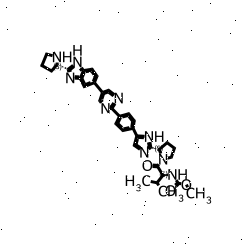 COC(=O)N[C@H](C(=O)N1CCC[C@H]1c1ncc(-c2ccc(-c3ncc(-c4ccc5[nH]c([C@@H]6CCCN6)nc5c4)cn3)cc2)[nH]1)C(C)C